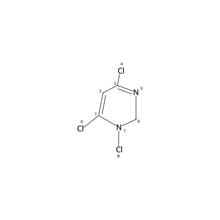 ClC1=CC(Cl)=NCN1Cl